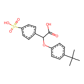 CC(C)(C)c1ccc(OC(C(=O)O)c2ccc(S(=O)(=O)O)cc2)cc1